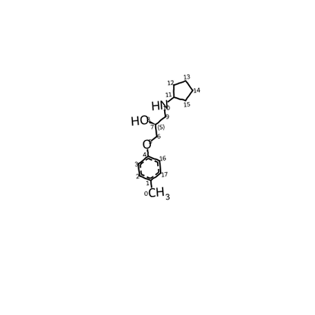 Cc1ccc(OC[C@@H](O)CNC2CCCC2)cc1